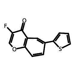 O=c1c(F)coc2ccc(-c3cccs3)cc12